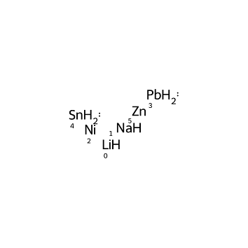 [LiH].[NaH].[Ni].[PbH2].[SnH2].[Zn]